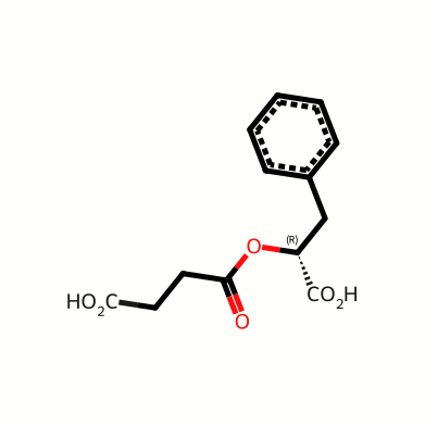 O=C(O)CCC(=O)O[C@H](Cc1ccccc1)C(=O)O